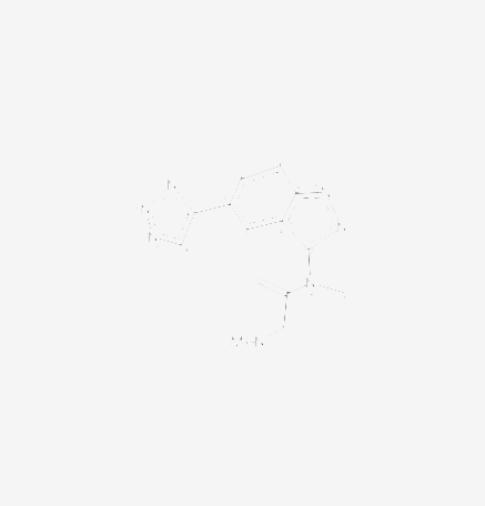 CNCC(=O)N(C)c1n[nH]c2ccc(-c3c[nH]nn3)cc12